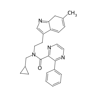 CC1=CC=C2C(CCN(CC3CC3)C(=O)c3nccnc3-c3ccccc3)=CN=C2C1